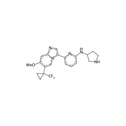 COc1cc2ncc(-c3cccc(NC4CCNC4)n3)n2cc1C1(C(F)(F)F)CC1